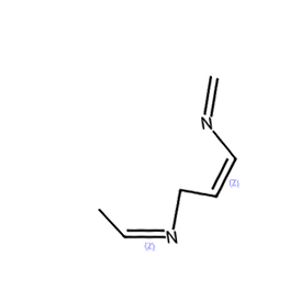 C=N/C=C\C/N=C\C